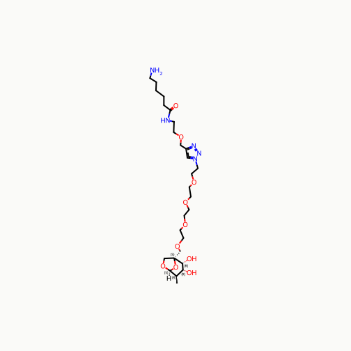 C[C@H]1[C@H]2OC[C@](COCCOCCOCCOCCn3cc(COCCNC(=O)CCCCCN)nn3)(O2)[C@H](O)[C@@H]1O